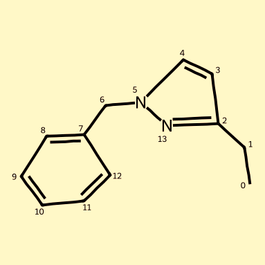 CCc1ccn(Cc2ccccc2)n1